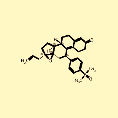 C=CC[C@]12CC[C@H]3[C@@H]4CCC5=CC(=O)CCC5=C4[C@@H](c4ccc(P(C)(C)=O)cc4)C[C@@]31O2